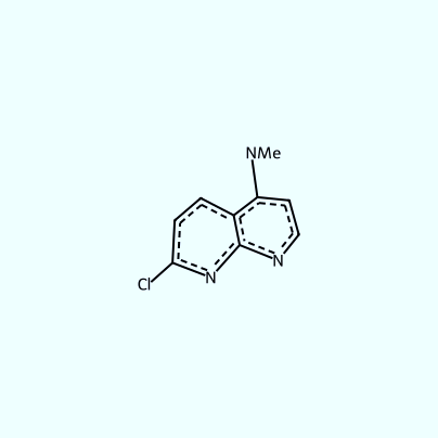 CNc1ccnc2nc(Cl)ccc12